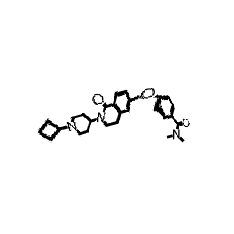 CN(C)C(=O)c1ccc(Oc2ccc3c(c2)CCN(C2CCN(C4CCC4)CC2)C3=O)cc1